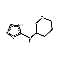 c1nnc(NC2CCCOC2)[nH]1